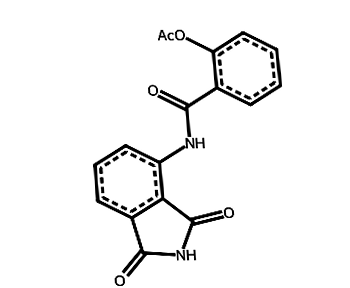 CC(=O)Oc1ccccc1C(=O)Nc1cccc2c1C(=O)NC2=O